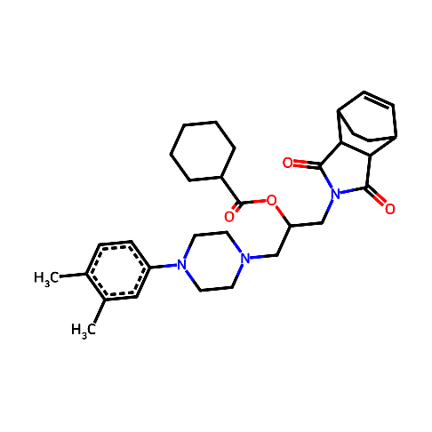 Cc1ccc(N2CCN(CC(CN3C(=O)C4C5C=CC(CC5)C4C3=O)OC(=O)C3CCCCC3)CC2)cc1C